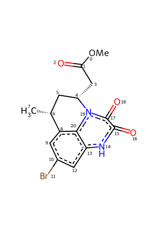 COC(=O)C[C@H]1C[C@@H](C)c2cc(Br)cc3[nH]c(=O)c(=O)n1c23